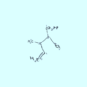 C=CC(C)C(CC)C(=O)O